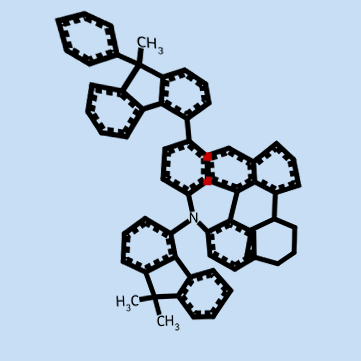 CC1(C)c2ccccc2-c2c(N(c3ccc(-c4cccc5c4-c4ccccc4C5(C)c4ccccc4)cc3)c3ccccc3-c3cccc4cccc(C5CCCCC5)c34)cccc21